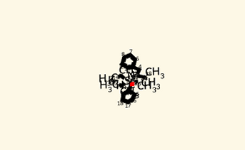 CC(C)[Si](Cc1ccccc1)([N-][Si](Cc1ccccc1)(C(C)C)C(C)C)C(C)C.[K+]